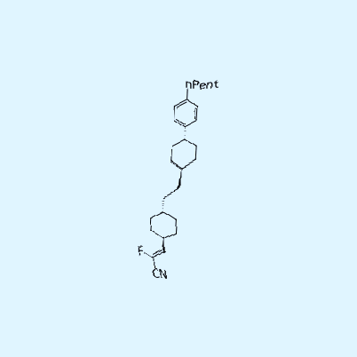 CCCCCc1ccc([C@H]2CC[C@H](CC[C@H]3CC[C@H](C=C(F)C#N)CC3)CC2)cc1